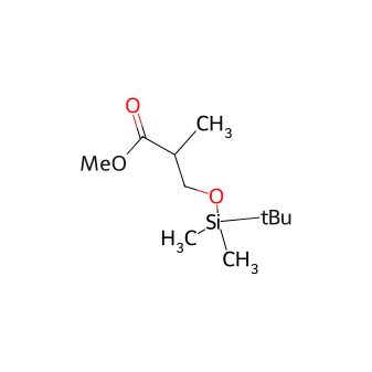 COC(=O)C(C)CO[Si](C)(C)C(C)(C)C